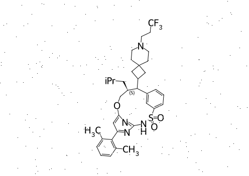 Cc1cccc(C)c1-c1cc2nc(n1)NS(=O)(=O)c1cccc(c1)C(C1CC3(CCN(CCC(F)(F)F)CC3)C1)[C@H](CC(C)C)CO2